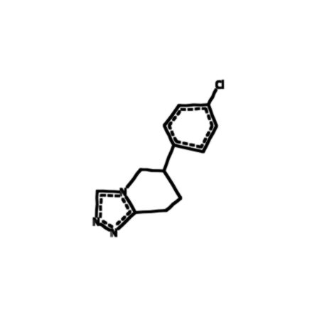 Clc1ccc(C2CCc3nncn3C2)cc1